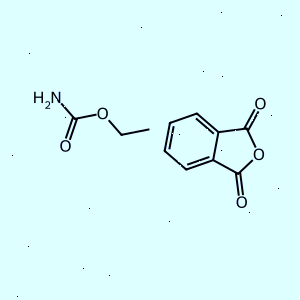 CCOC(N)=O.O=C1OC(=O)c2ccccc21